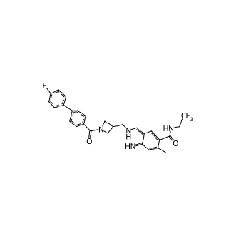 CC1=CC(=N)/C(=C\NCC2CN(C(=O)c3ccc(-c4ccc(F)cc4)cc3)C2)C=C1C(=O)NCC(F)(F)F